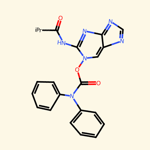 CC(C)C(=O)Nc1nc2ncnc-2cn1OC(=O)N(c1ccccc1)c1ccccc1